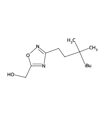 CCC(C)C(C)(C)CCc1noc(CO)n1